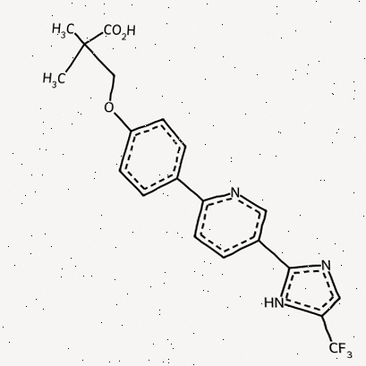 CC(C)(COc1ccc(-c2ccc(-c3ncc(C(F)(F)F)[nH]3)cn2)cc1)C(=O)O